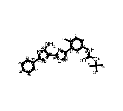 Cc1ccc(NC(=O)OC(C)(C)C)cc1-c1noc(-c2sc(-c3ccccc3)nc2N)n1